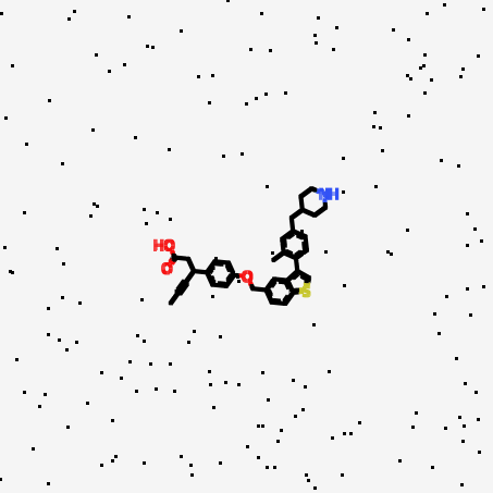 CC#CC(CC(=O)O)c1ccc(OCc2ccc3scc(-c4ccc(CC5CCNCC5)cc4C)c3c2)cc1